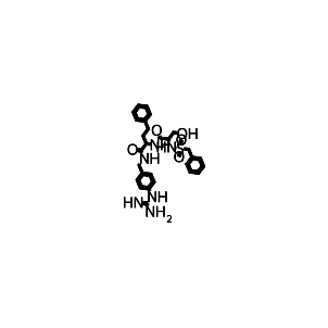 N=C(N)Nc1ccc(CNC(=O)C(CCc2ccccc2)NC(=O)C(CO)NS(=O)(=O)Cc2ccccc2)cc1